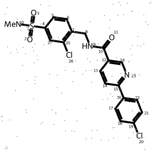 CNS(=O)(=O)c1ccc(CNC(=O)c2ccc(-c3ccc(Cl)cc3)nc2)c(Cl)c1